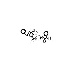 O=C([C@@H](COCc1ccccc1)NC(=O)C(F)(F)F)N1CCC(n2c(=O)[nH]c3ccccc32)CC1